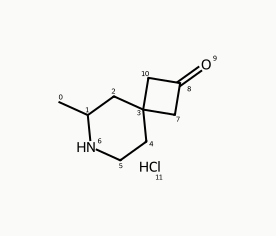 CC1CC2(CCN1)CC(=O)C2.Cl